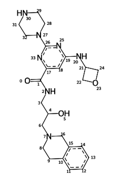 O=C(NCC(O)CN1CCc2ccccc2C1)c1cc(NC2COC2)nc(N2CCNCC2)n1